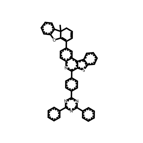 CC12CC=CC(c3ccc4nc(-c5ccc(-c6nc(-c7ccccc7)nc(-c7ccccc7)n6)cc5)c5sc6ccccc6c5c4c3)=C1Oc1ccccc12